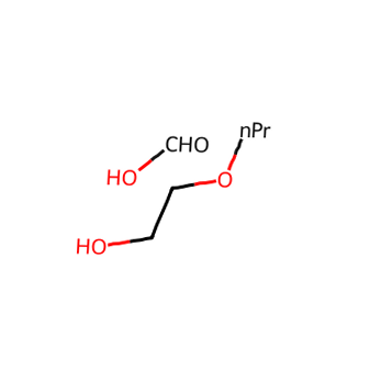 CCCOCCO.O=CO